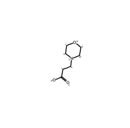 [O]C(=O)CCN1CCOCC1